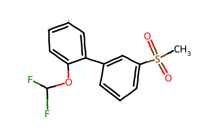 CS(=O)(=O)c1cccc(-c2c[c]ccc2OC(F)F)c1